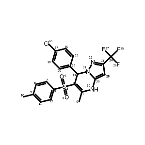 CC1=C(S(=O)(=O)c2ccc(C)cc2)C(c2ccc(Cl)cc2)n2nc(C(F)(F)F)cc2N1